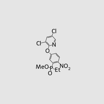 CCP(=O)(OC)c1cc(Oc2ncc(Cl)cc2Cl)ccc1[N+](=O)[O-]